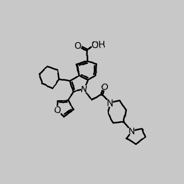 O=C(O)c1ccc2c(c1)c(C1CCCCC1)c(-c1ccoc1)n2CC(=O)N1CCC(N2CCCC2)CC1